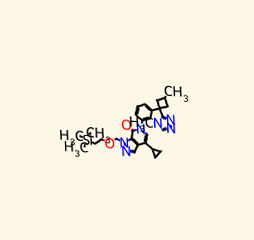 CC1CC(c2cccc(-n3cc(C4CC4)c4cnn(COCC[Si](C)(C)C)c4c3=O)c2)(c2nncn2C)C1